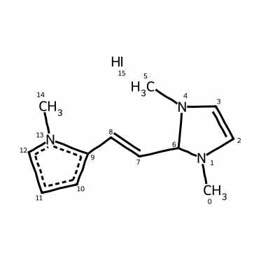 CN1C=CN(C)C1C=Cc1cccn1C.I